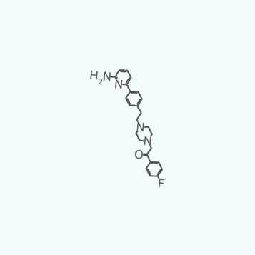 Nc1cccc(-c2ccc(CCN3CCN(CC(=O)c4ccc(F)cc4)CC3)cc2)n1